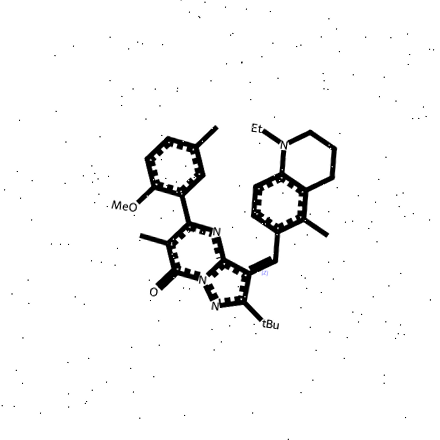 CCN1CCCc2c1ccc(/C=c1/c(C(C)(C)C)nn3c(=O)c(C)c(-c4cc(C)ccc4OC)nc13)c2C